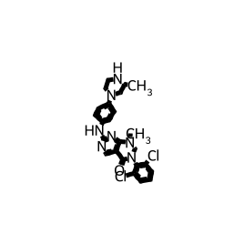 CC1CN(c2ccc(Nc3ncc4c(n3)N(C)CN(c3c(Cl)cccc3Cl)C4=O)cc2)CCN1